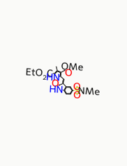 CCOC(=O)c1[nH]c(C=C2C(=O)Nc3ccc(S(=O)(=O)NC)cc32)c(C(=O)OC)c1C